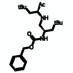 CC(=O)[C@H](CC(C)(C)C)NC[C@@H](CC(C)(C)C)NC(=O)OCc1ccccc1